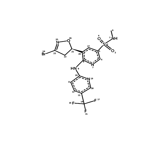 CNS(=O)(=O)c1cnc(Nc2ccc(C(F)(F)F)cn2)c([C@H]2CC(Br)=NO2)c1